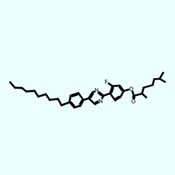 CCCCCCCCCCc1ccc(-c2cnc(-c3ccc(OC(=O)C(C)CCCC(C)C)cc3F)nc2)cc1